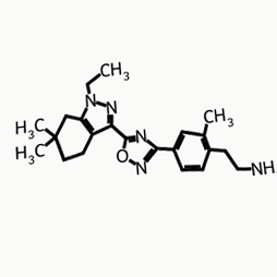 CCn1nc(-c2nc(-c3ccc(CCN)c(C)c3)no2)c2c1CC(C)(C)CC2